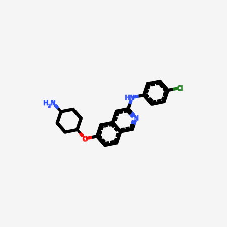 N[C@H]1CC[C@@H](Oc2ccc3cnc(Nc4ccc(Cl)cc4)cc3c2)CC1